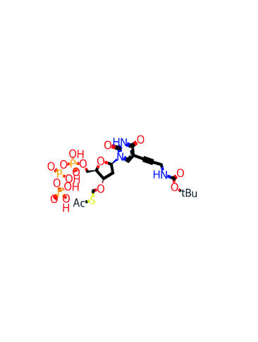 CC(=O)SCO[C@H]1C[C@H](n2cc(C#CCNC(=O)OC(C)(C)C)c(=O)[nH]c2=O)O[C@@H]1COP(=O)(O)OP(=O)(O)OP(=O)(O)O